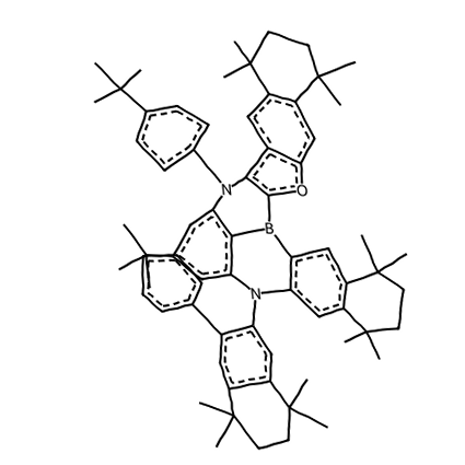 CC(C)(C)c1ccc(N2c3cc(C(C)(C)C)cc4c3B(c3cc5c(cc3N4c3cc4c(cc3-c3ccccc3)C(C)(C)CCC4(C)C)C(C)(C)CCC5(C)C)c3oc4cc5c(cc4c32)C(C)(C)CCC5(C)C)cc1